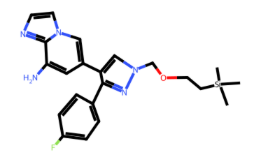 C[Si](C)(C)CCOCn1cc(-c2cc(N)c3nccn3c2)c(-c2ccc(F)cc2)n1